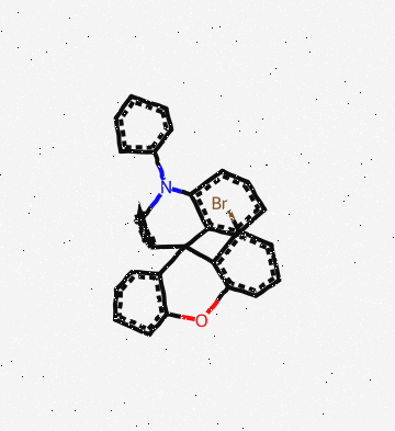 Brc1cccc2c1C1(c3ccccc3O2)c2ccccc2N(c2ccccc2)c2ccccc21